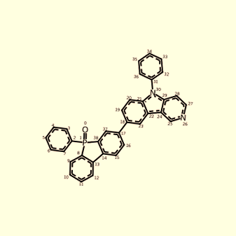 O=P1(c2ccccc2)c2ccccc2-c2ccc(-c3ccc4c(c3)c3cnccc3n4-c3ccccc3)cc21